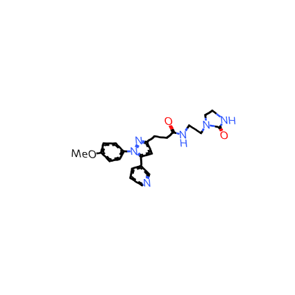 COc1ccc(-n2nc(CCC(=O)NCCN3CCNC3=O)cc2-c2cccnc2)cc1